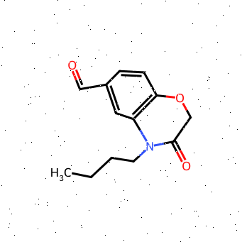 CCCCN1C(=O)COc2ccc(C=O)cc21